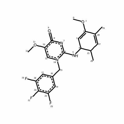 COC1=CC(Nc2nc(=O)c(OC)cn2Cc2cc(F)c(F)c(F)c2)C(C)C=C1C